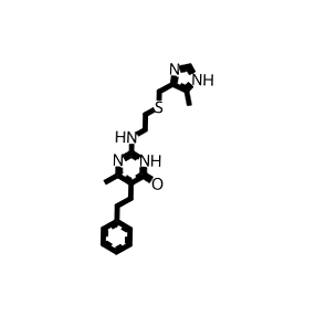 Cc1nc(NCCSCc2nc[nH]c2C)[nH]c(=O)c1CCc1ccccc1